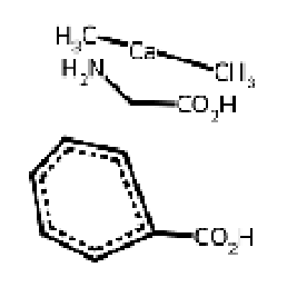 NCC(=O)O.O=C(O)c1ccccc1.[CH3][Ca][CH3]